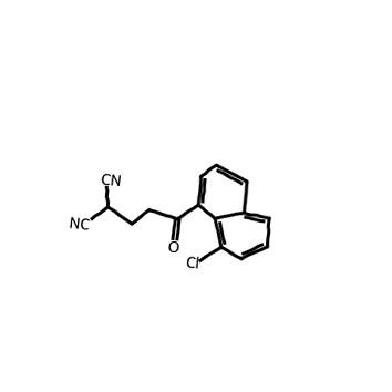 N#CC(C#N)CCC(=O)c1cccc2cccc(Cl)c12